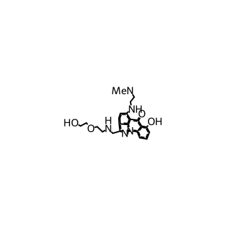 CNCCNc1ccc2c(CNCCOCCO)nn3c4cccc(O)c4c(=O)c1c23